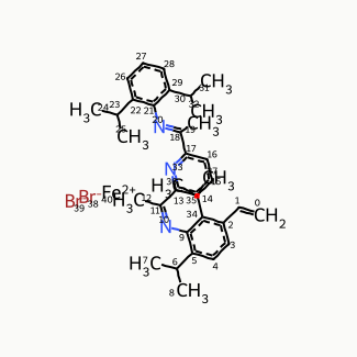 C=Cc1ccc(C(C)C)c(N=C(C)c2cccc(C(C)=Nc3c(C(C)C)cccc3C(C)C)n2)c1C(C)C.[Br-].[Br-].[Fe+2]